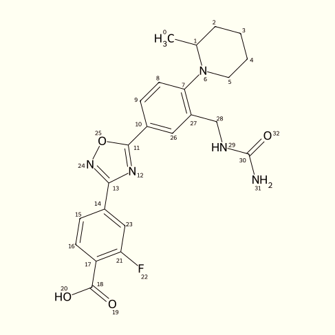 CC1CCCCN1c1ccc(-c2nc(-c3ccc(C(=O)O)c(F)c3)no2)cc1CNC(N)=O